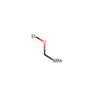 [CH2]NCOCC